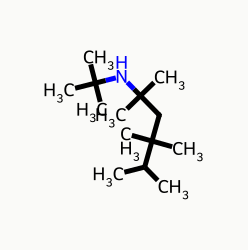 CC(C)C(C)(C)CC(C)(C)NC(C)(C)C